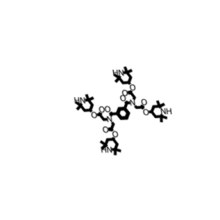 CC1(C)CC(OC(=O)CN(CC(=O)OC2CC(C)(C)NC(C)(C)C2)C(=O)c2cccc(C(=O)N(CC(=O)OC3CC(C)(C)NC(C)(C)C3)CC(=O)OC3CC(C)(C)NC(C)(C)C3)c2)CC(C)(C)N1